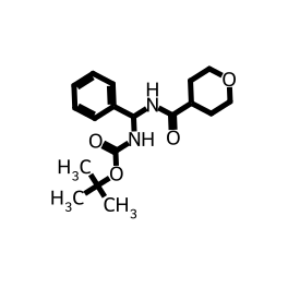 CC(C)(C)OC(=O)NC(NC(=O)C1CCOCC1)c1ccccc1